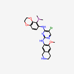 COc1cc2c(cc1Nc1ncc(Br)c(Nc3ccc4c(c3P(C)C)OCCO4)n1)CNCC2